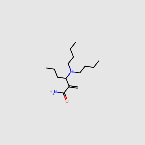 C=C(C(N)=O)C(CCC)N(CCCC)CCCC